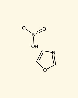 O=[N+]([O-])O.c1cocn1